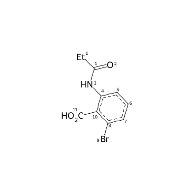 CCC(=O)Nc1cccc(Br)c1C(=O)O